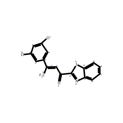 O=C(/C=C(/c1cc(Cl)cc(Cl)c1)C(F)(F)F)c1nc2ccccc2s1